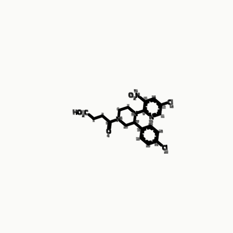 O=C(O)CCC(=O)N1CCN(c2ncc(Cl)cc2[N+](=O)[O-])C(c2ccc(Cl)cc2)C1